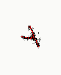 N[C@H](CCCCNC(=O)OCc1ccccc1)C(=O)Nc1ccc(C(c2ccc(NC(=O)[C@H](N)CCCCNC(=O)OCc3ccccc3)cc2)c2ccc(NC(=O)[C@H](N)CCCCNC(=O)OCc3ccccc3)cc2)cc1